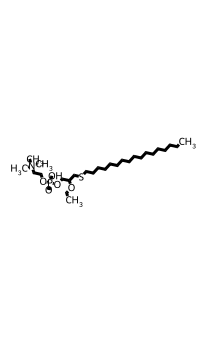 CCCCCCCCCCCCCCCCCSCC(COP(=O)(O)OCC[N+](C)(C)C)OCC